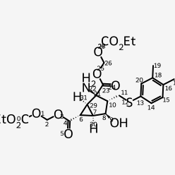 CCOC(=O)OCOC(=O)[C@H]1[C@@H]2[C@H](O)[C@@H](CSc3ccc(C)c(C)c3)[C@@](N)(C(=O)OCOC(=O)OCC)[C@H]12